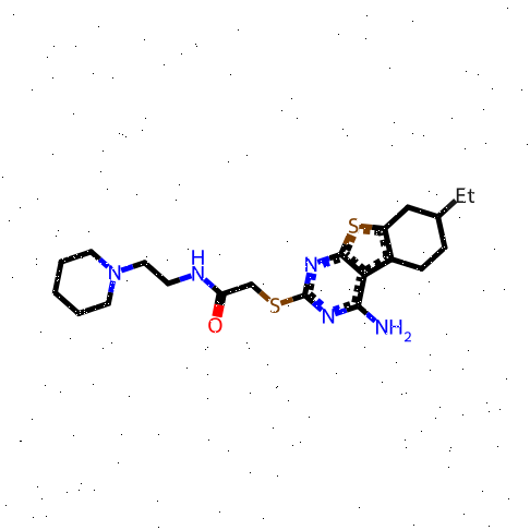 CCC1CCc2c(sc3nc(SCC(=O)NCCN4CCCCC4)nc(N)c23)C1